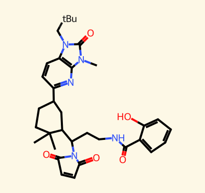 Cn1c(=O)n(CC(C)(C)C)c2ccc(C3CCC(C)(C)C(C(CCNC(=O)c4ccccc4O)N4C(=O)C=CC4=O)C3)nc21